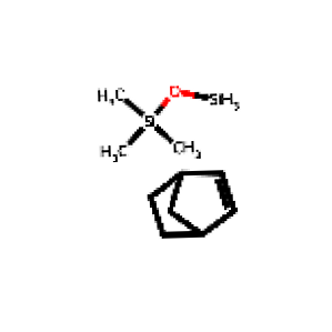 C1=CC2CCC1C2.C[Si](C)(C)O[SiH3]